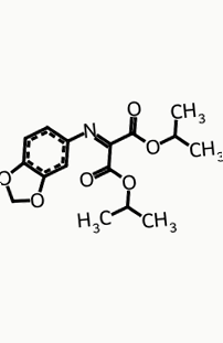 CC(C)OC(=O)C(=Nc1ccc2c(c1)OCO2)C(=O)OC(C)C